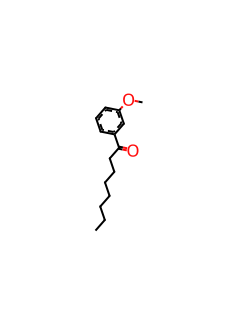 CCCCCCCC(=O)c1cccc(OC)c1